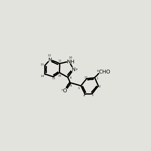 O=Cc1cccc(C(=O)c2n[nH]c3ncccc23)c1